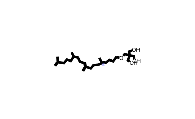 C/C(=C\CCCOCC(CO)(CO)CO)CCCC(C)CCCC(C)CCCC(C)C